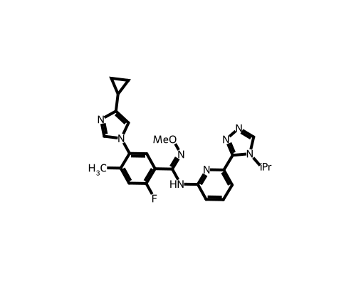 CON=C(Nc1cccc(-c2nncn2C(C)C)n1)c1cc(-n2cnc(C3CC3)c2)c(C)cc1F